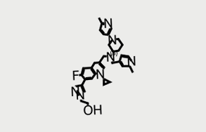 Cc1ccc(N2CCC[C@H](N(CC3=CN(C4CC4)c4cc(-c5cnn(CCO)c5)c(F)cc4C3)Cc3ccnc(C)c3)C2)cn1